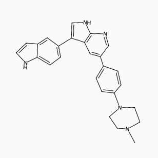 CN1CCN(c2ccc(-c3cnc4[nH]cc(-c5ccc6[nH]ccc6c5)c4c3)cc2)CC1